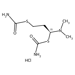 CN(C)[C@H](CCSC(N)=O)SC(N)=O.Cl